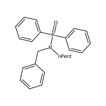 CCCCCN(Cc1ccccc1)P(=O)(c1ccccc1)c1ccccc1